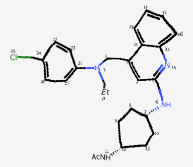 CCN(Cc1cc(N[C@H]2CC[C@@H](NC(C)=O)CC2)nc2ccccc12)c1ccc(Cl)cc1